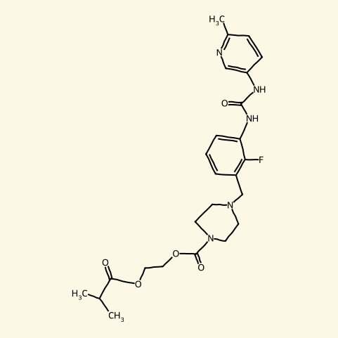 Cc1ccc(NC(=O)Nc2cccc(CN3CCN(C(=O)OCCOC(=O)C(C)C)CC3)c2F)cn1